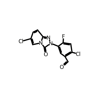 O=Cc1cc(-n2nc3ccc(Cl)cn3c2=O)c(F)cc1Cl